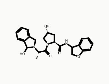 C[C@@H](C(=O)N1C[C@H](O)C[C@H]1C(=O)NC1COc2ccccc21)N1Cc2ccccc2C1O